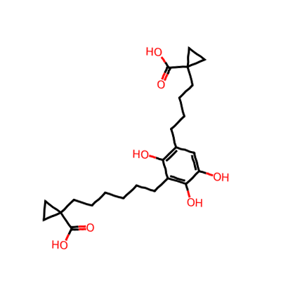 O=C(O)C1(CCCCCCc2c(O)c(O)cc(CCCCC3(C(=O)O)CC3)c2O)CC1